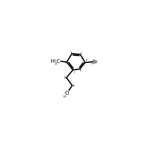 Cc1ccc(Br)cc1CC[O]